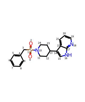 O=S(=O)(Cc1ccccc1)N1CCC(c2c[nH]c3ncccc23)CC1